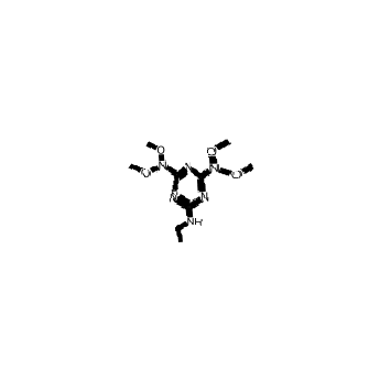 CCNc1nc(N(OC)OC)nc(N(OC)OC)n1